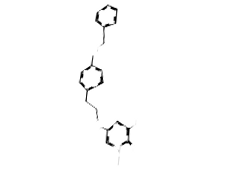 O=c1[nH]cc(SCCc2ccc(OCc3ccccc3)cc2)cc1O